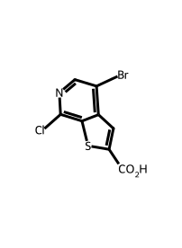 O=C(O)c1cc2c(Br)cnc(Cl)c2s1